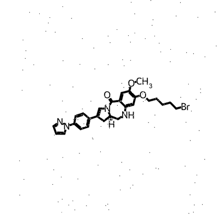 COc1cc2c(cc1OCCCCCBr)NC[C@@H]1CC(c3ccc(-n4cccn4)cc3)=CN1C2=O